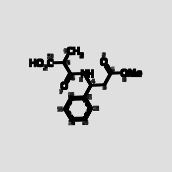 COC(=O)CC(NC(=O)C(C)C(=O)O)c1ccccc1